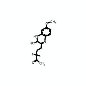 COc1ccc2c(c1)NC(O)C(CCC(F)(F)C(C)=O)=N2